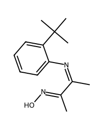 CC(=NO)C(C)=Nc1ccccc1C(C)(C)C